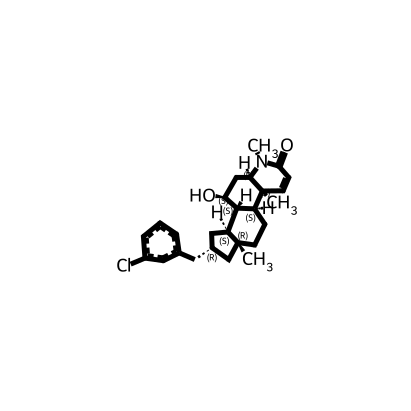 CN1C(=O)C=C[C@]2(C)[C@H]3CC[C@]4(C)C[C@H](Cc5cccc(Cl)c5)C[C@H]4[C@@H]3[C@@H](O)C[C@@H]12